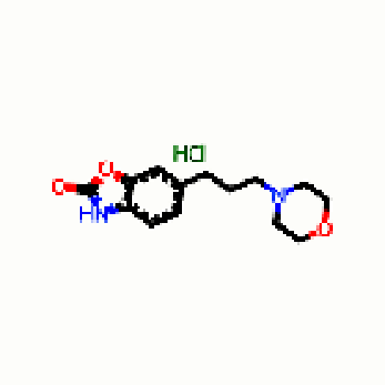 Cl.O=c1[nH]c2ccc(CCCN3CCOCC3)cc2o1